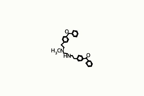 CN(CCNCCc1ccc(C(=O)c2ccccc2)cc1)CCc1ccc(C(=O)c2ccccc2)cc1